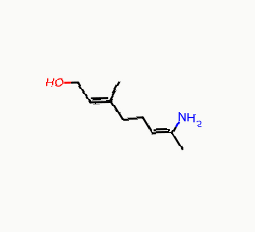 C/C(N)=C/CC/C(C)=C/CO